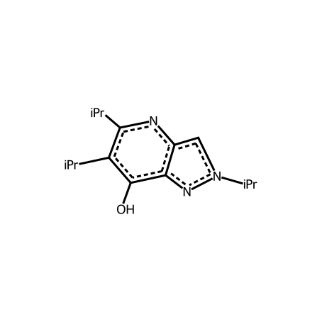 CC(C)c1nc2cn(C(C)C)nc2c(O)c1C(C)C